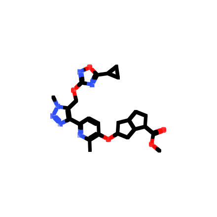 COC(=O)C1CCC2CC(Oc3ccc(-c4nnn(C)c4COc4noc(C5CC5)n4)nc3C)CC21